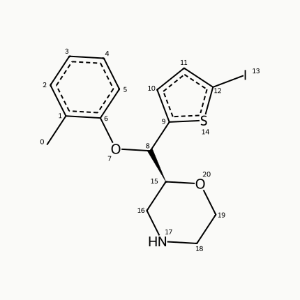 Cc1ccccc1OC(c1ccc(I)s1)[C@@H]1CNCCO1